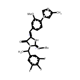 CCCC/N=C1\N/C(=C\c2ccc(-n3cnc(C)c3)c(OC)c2)C(=O)N1C(C)c1cc(F)c(F)c(F)c1